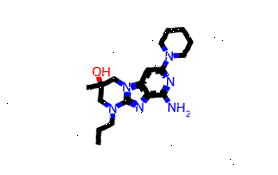 CCCN1CC(C)(O)Cn2c1nc1c(N)nc(N3CCCCC3)cc12